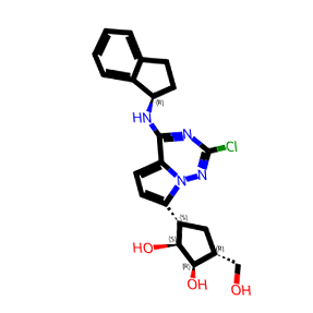 OC[C@H]1C[C@@H](c2ccc3c(N[C@@H]4CCc5ccccc54)nc(Cl)nn23)[C@H](O)[C@@H]1O